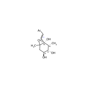 CC(=O)/C=C/[C@@]1(O)[C@H](C)[C@H](O)[C@@H](O)CC1(C)C